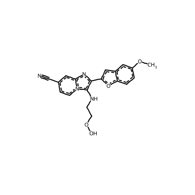 COc1ccc2oc(-c3nc4cc(C#N)ccn4c3NCCOO)cc2c1